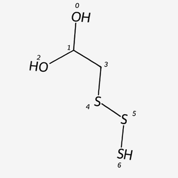 OC(O)CSSS